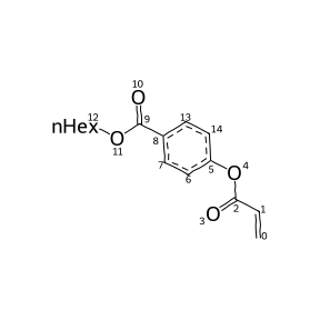 C=CC(=O)Oc1ccc(C(=O)OCCCCCC)cc1